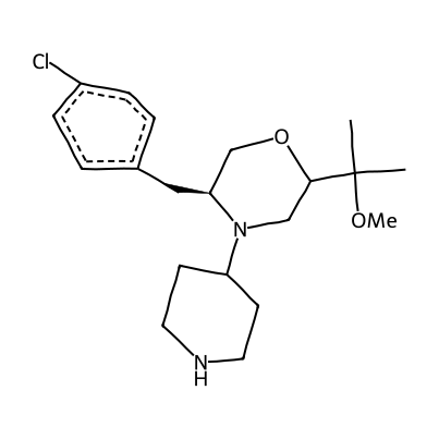 COC(C)(C)C1CN(C2CCNCC2)[C@@H](Cc2ccc(Cl)cc2)CO1